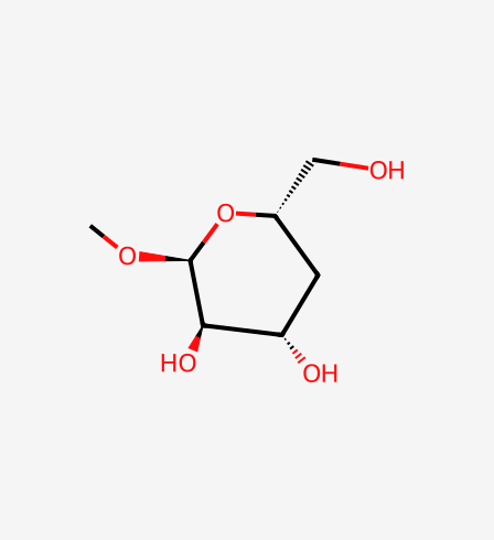 CO[C@H]1O[C@H](CO)C[C@H](O)[C@H]1O